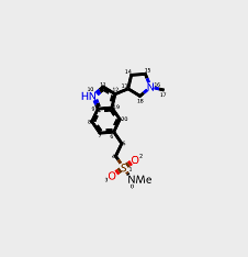 CNS(=O)(=O)CCc1ccc2[nH]cc(C3CCN(C)C3)c2c1